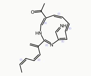 C=C(/C=C\C=C/C)/C1=N/C(C=N)=C/C=C/C=C\C(C(C)=O)=C/N1